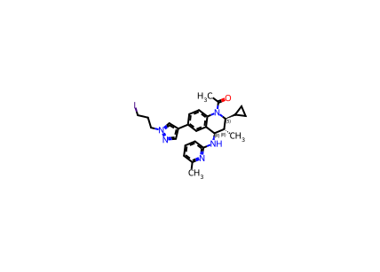 CC(=O)N1c2ccc(-c3cnn(CCCI)c3)cc2[C@H](Nc2cccc(C)n2)[C@@H](C)[C@@H]1C1CC1